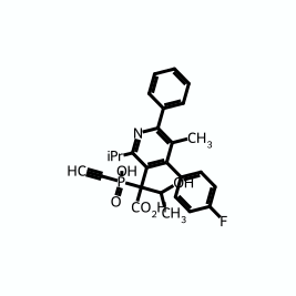 C#CP(=O)(O)C(C(=O)O)(c1c(C(C)C)nc(-c2ccccc2)c(C)c1-c1ccc(F)cc1)C(C)O